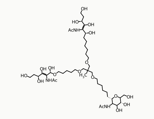 CC(=O)N/C(=C(/O)[C@@H](O)CCO)[C@@H](O)CCCCCCOCC(C)(COCCCCCC[C@@H]1OC(CO)[C@H](O)C(O)C1NC(C)=O)COCCCCCO[C@H](O)/C(NC(C)=O)=C(\O)[C@@H](O)CCO